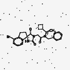 C[C@H](C1CCC1)N(Cc1ccccc1)C(=O)CN1C(=O)NC2(CCc3c(Br)cccc32)C1=O